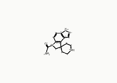 NC(=O)N1CC2(CCNCC2)c2c1ccc1[nH]ncc21